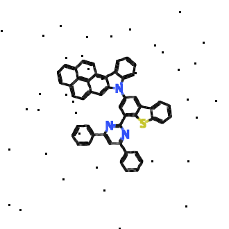 c1ccc(-c2cc(-c3ccccc3)nc(-c3cc(-n4c5ccccc5c5c6ccc7cccc8ccc(cc54)c6c87)cc4c3sc3ccccc34)n2)cc1